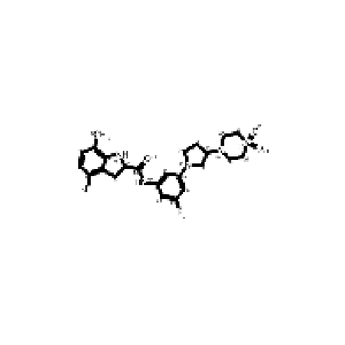 Cc1ccc(F)c2c1NC(C(=O)Nc1cc(F)cc(N3CCC(N4CCS(=O)(=O)CC4)C3)c1)C2